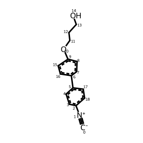 [C-]#[N+]c1ccc(-c2ccc(OCCCO)cc2)cc1